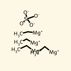 C[CH2][Mg+].C[CH2][Mg+].C[CH2][Mg+].C[CH2][Mg+].[O-][Si]([O-])([O-])[O-]